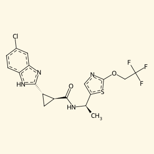 C[C@@H](NC(=O)[C@H]1C[C@@H]1c1nc2cc(Cl)ccc2[nH]1)c1cnc(OCC(F)(F)F)s1